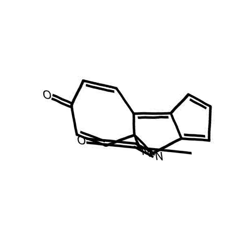 O=C1C=CC2=C3C=CC=C3C3=NN=CC(=O)C32C=C1